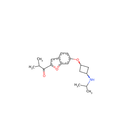 CC(C)N[C@H]1C[C@@H](Oc2ccc3cc(C(=O)C(C)C)oc3c2)C1